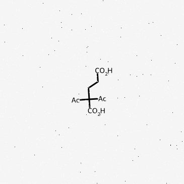 CC(=O)C(CCC(=O)O)(C(C)=O)C(=O)O